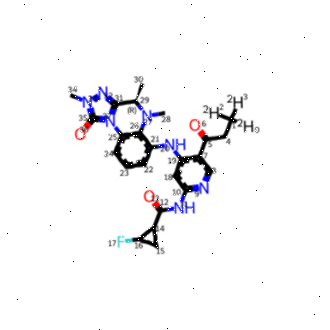 [2H]C([2H])([2H])CC(=O)c1cnc(NC(=O)C2CC2F)cc1Nc1cccc2c1N(C)[C@H](C)c1nn(C)c(=O)n1-2